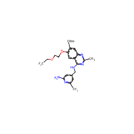 COc1cc2nc(C)nc(NCc3cc(N)nc(C(F)(F)F)c3)c2cc1OCCOCC(F)(F)F